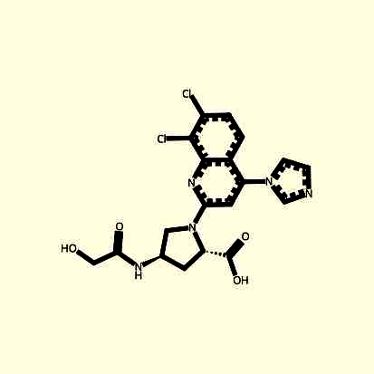 O=C(CO)N[C@@H]1C[C@@H](C(=O)O)N(c2cc(-n3ccnc3)c3ccc(Cl)c(Cl)c3n2)C1